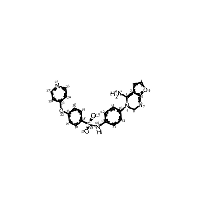 NC1=c2ccoc2=NCN1c1ccc(NS(=O)(=O)c2ccc(Oc3ccncc3)cc2)cc1